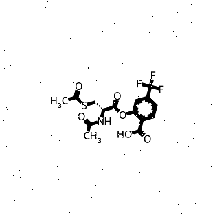 CC(=O)N[C@H](CSC(C)=O)C(=O)Oc1cc(C(F)(F)F)ccc1C(=O)O